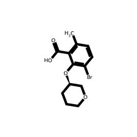 Cc1ccc(Br)c(O[C@@H]2CCCOC2)c1C(=O)O